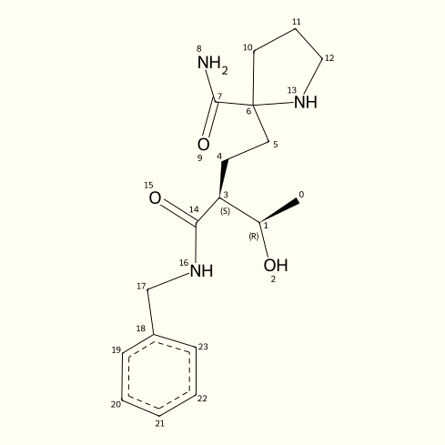 C[C@@H](O)[C@H](CCC1(C(N)=O)CCCN1)C(=O)NCc1ccccc1